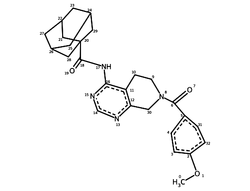 COc1ccc(C(=O)N2CCc3c(ncnc3NC(=O)C34CC5CC(CC(C5)C3)C4)C2)cc1